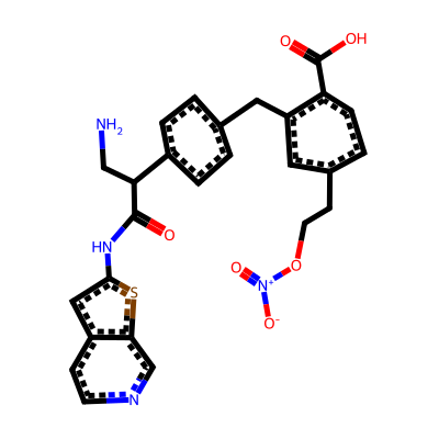 NCC(C(=O)Nc1cc2ccncc2s1)c1ccc(Cc2cc(CCO[N+](=O)[O-])ccc2C(=O)O)cc1